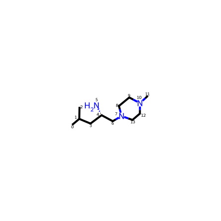 CC(C)C[C@H](N)CN1CCN(C)CC1